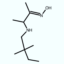 CCC(C)(C)CNC(C)/C(C)=N/O